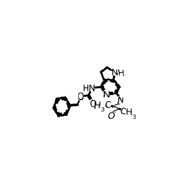 CS(C)(=O)=Nc1cc2c(c(NC(=O)OCc3ccccc3)n1)CCN2